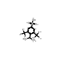 CC(C)c1c(C(F)(F)F)cc(S(=O)(=O)O)cc1C(F)(F)F